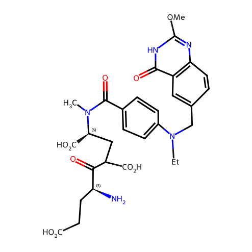 CCN(Cc1ccc2nc(OC)[nH]c(=O)c2c1)c1ccc(C(=O)N(C)[C@@H](CC(C(=O)O)C(=O)[C@@H](N)CCC(=O)O)C(=O)O)cc1